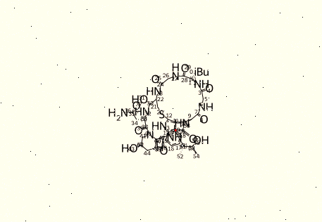 CCC(C)[C@@H]1NC(=O)CNC(=O)C2Cc3c([nH]c4ccccc34)SCC(NC(=O)CNC1=O)C(O)N[C@@H](CC(N)=O)C(=O)N1C[C@H](O)CC[C@H]1C(=O)NC([C@@H](C)[C@H](C)O)C(=O)N2